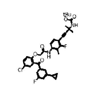 Cc1c(NC(=O)COc2ccc(Cl)cc2C(=O)c2cc(F)cc(C3CC3)c2)ccc(C#CC(C)(C)NC(=O)OC(C)(C)C)c1F